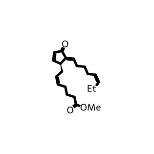 CC/C=C\CCC/C=C1/C(=O)C=C[C@@H]1C/C=C\CCCC(=O)OC